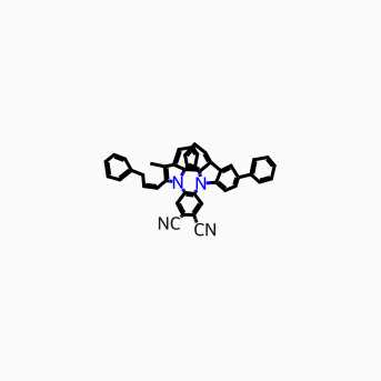 Cc1c(/C=C\Cc2ccccc2)n(-c2cc(C#N)c(C#N)cc2-n2c3ccccc3c3cc(-c4ccccc4)ccc32)c2ccccc12